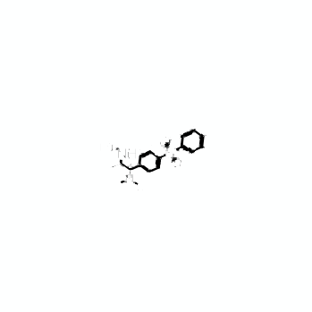 CC(C)N[C@H](C)[C@@H](c1ccc(S(=O)(=O)c2ccccc2)cc1)N(C)C